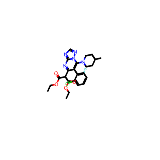 CCOC(=O)C(C(=O)OCC)c1nc2ncnn2c(N2CCC(C)CC2)c1-c1c(F)cccc1Cl